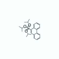 CC(C)O[Si](OC(C)C)(OC(C)C)c1cc2ccccc2c2ccccc12